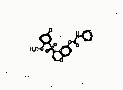 COc1ccc(Cl)cc1S(=O)(=O)N1C=COc2ccc(OC(=O)Nc3ccccc3)cc21